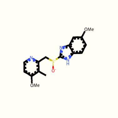 COc1ccc2[nH]c([S@@+]([O-])Cc3nccc(OC)c3C)nc2c1